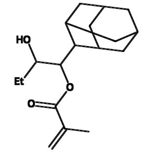 C=C(C)C(=O)OC(C(O)CC)C1C2CC3CC(C2)CC1C3